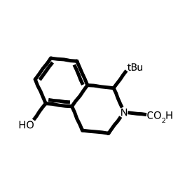 CC(C)(C)C1c2cccc(O)c2CCN1C(=O)O